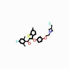 Cc1ccc2c(Oc3ccc(OCCN4CC(CF)C4)cc3)c(C(=O)c3c(C)cc(F)cc3C)sc2c1